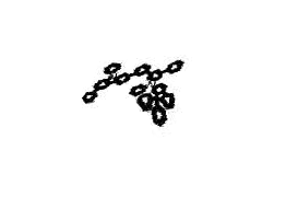 C1=CC2c3ccccc3C(c3ccccc3)(c3ccccc3)C2C=C1N(c1ccccc1)c1cc(-c2ccccc2)cc(-c2cccc(-c3ccc4c5cc(-c6ccccc6)ccc5n(-c5ccccc5)c4c3)c2)c1